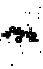 COC[C@@H]1CCCN1NC(=O)Cc1cn(-c2ccccc2)c(NC(=O)c2cccc(-c3cn[nH]c3)c2)n1